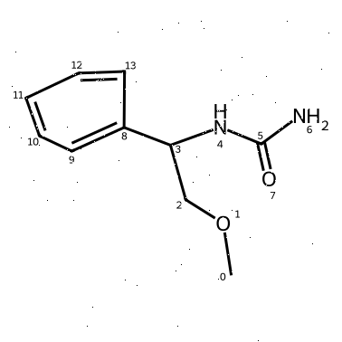 COCC(NC(N)=O)c1ccccc1